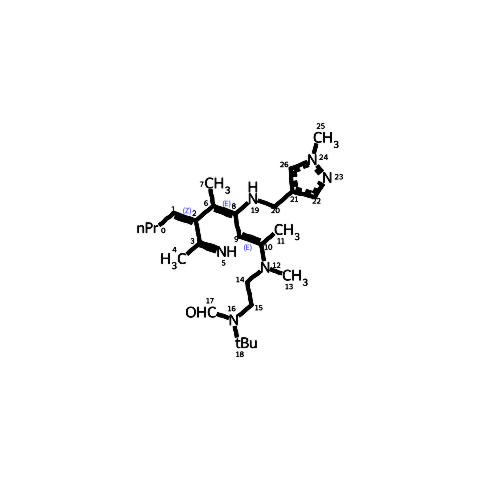 CCC/C=C(C(C)=N)/C(C)=C(\C=C(/C)N(C)CCN(C=O)C(C)(C)C)NCc1cnn(C)c1